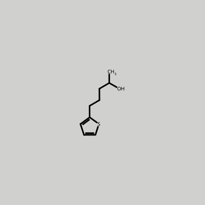 CC(O)CCCc1cccs1